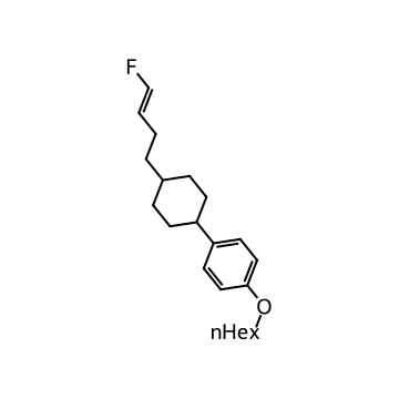 CCCCCCOc1ccc(C2CCC(CCC=CF)CC2)cc1